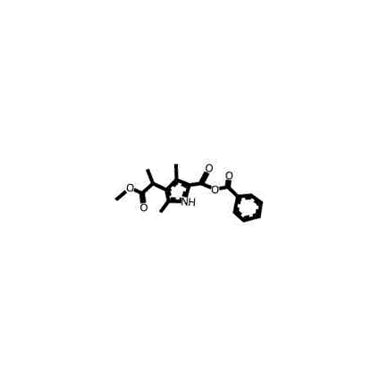 COC(=O)C(C)c1c(C)[nH]c(C(=O)OC(=O)c2ccccc2)c1C